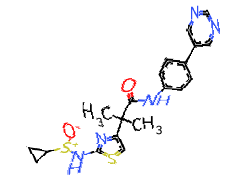 CC(C)(C(=O)Nc1ccc(-c2cncnc2)cc1)c1csc(N[S+]([O-])C2CC2)n1